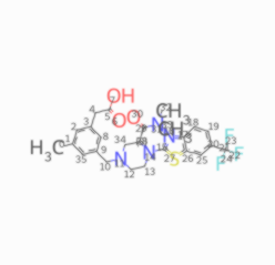 Cc1cc(CC(=O)O)cc(CN2CCN(c3nc4ccc(C(F)(F)F)cc4s3)[C@H](C(=O)N(C)C)C2)c1